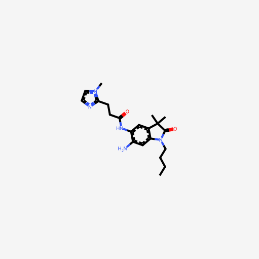 CCCCN1C(=O)C(C)(C)c2cc(NC(=O)CCc3nccn3C)c(N)cc21